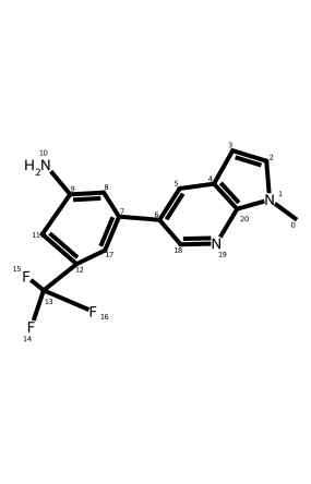 Cn1ccc2cc(-c3cc(N)cc(C(F)(F)F)c3)cnc21